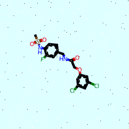 CS(=O)(=O)Nc1ccc(CNC(=O)COc2cc(Cl)cc(Cl)c2)cc1F